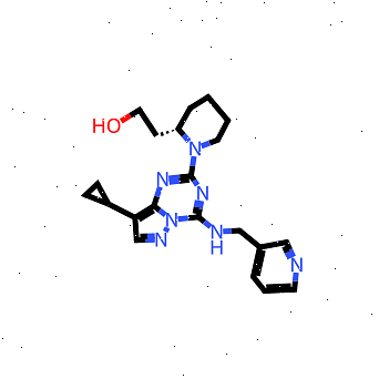 OCC[C@@H]1CCCCN1c1nc(NCc2cccnc2)n2ncc(C3CC3)c2n1